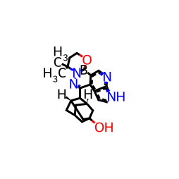 CC1(C)CCOB2c3cnc4[nH]ccc4c3C(C3[C@@H]4CC5C[C@H]3CC(O)(C5)C4)=NN21